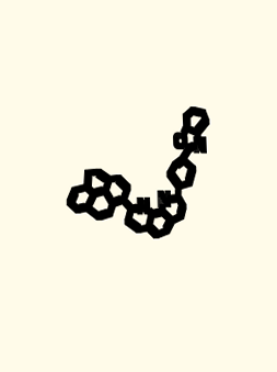 c1cc2ccc3ccc(-c4ccc5ccc6ccc(-c7ccc(-c8nc9ccccc9o8)cc7)nc6c5n4)c4ccc(c1)c2c34